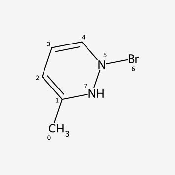 CC1=CC=CN(Br)N1